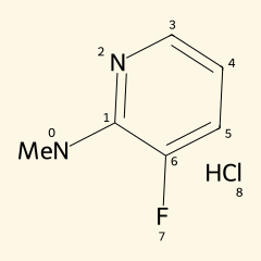 CNc1ncccc1F.Cl